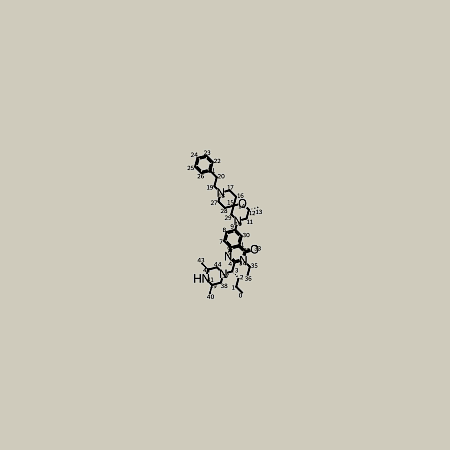 CCC[C@@H](c1nc2ccc(N3C[C@@H](C)OC4(CCN(CCc5ccccc5)CC4)C3)cc2c(=O)n1CC)N1C[C@@H](C)N[C@@H](C)C1